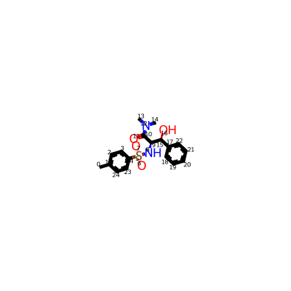 Cc1ccc(S(=O)(=O)N[C@@H](C(=O)N(C)C)[C@@H](O)c2ccccc2)cc1